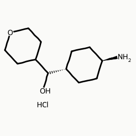 Cl.N[C@H]1CC[C@H](C(O)C2CCOCC2)CC1